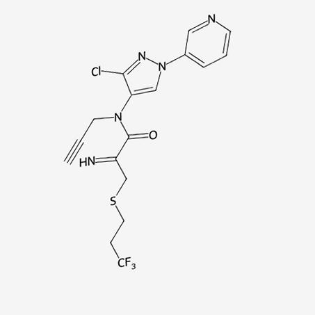 C#CCN(C(=O)C(=N)CSCCC(F)(F)F)c1cn(-c2cccnc2)nc1Cl